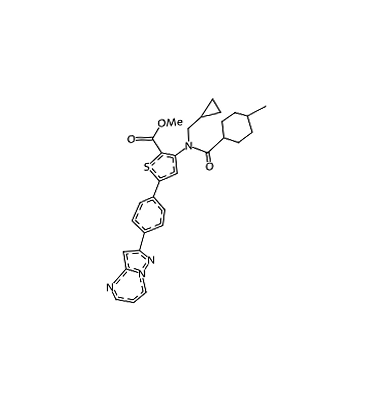 COC(=O)c1sc(-c2ccc(-c3cc4ncccn4n3)cc2)cc1N(CC1CC1)C(=O)C1CCC(C)CC1